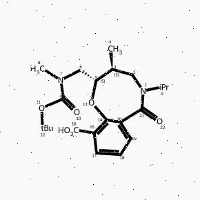 CC(C)N1C[C@H](C)[C@@H](CN(C)C(=O)OC(C)(C)C)Oc2c(C(=O)O)cccc2C1=O